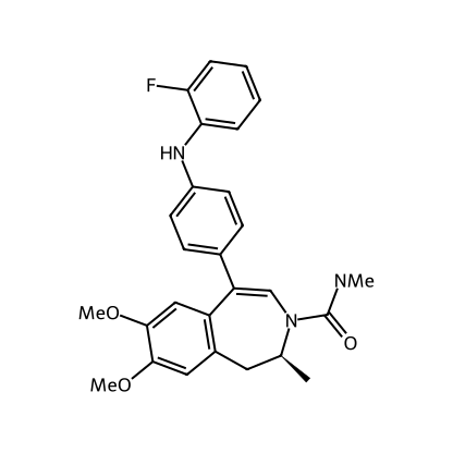 CNC(=O)N1C=C(c2ccc(Nc3ccccc3F)cc2)c2cc(OC)c(OC)cc2C[C@@H]1C